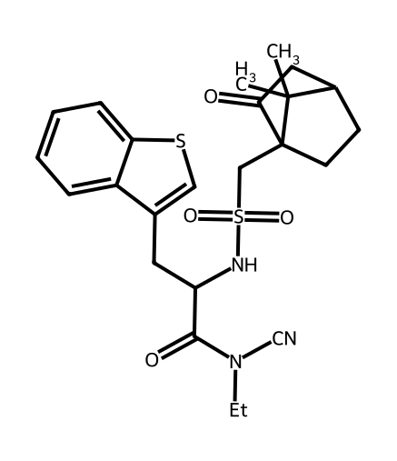 CCN(C#N)C(=O)C(Cc1csc2ccccc12)NS(=O)(=O)CC12CCC(CC1=O)C2(C)C